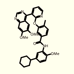 COc1ccc(C2CCCCC2)cc1NC(=O)c1ccc(C)c(Oc2ncccc2-c2ncnc3cc(OC)c(OC)cc23)c1